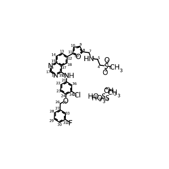 CS(=O)(=O)CCNCc1ccc(-c2ccc3ncnc(Nc4ccc(OCc5cccc(F)c5)c(Cl)c4)c3c2)o1.CS(=O)(=O)O.CS(=O)(=O)O